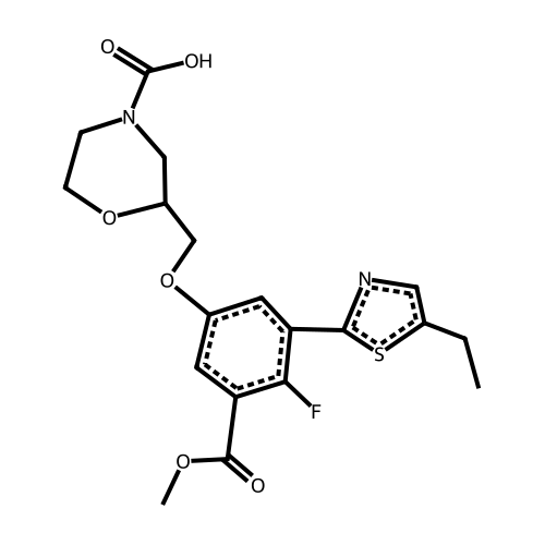 CCc1cnc(-c2cc(OCC3CN(C(=O)O)CCO3)cc(C(=O)OC)c2F)s1